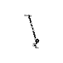 COC(=O)CCCCCOCCOCCOCCCCCCOc1cccc(CNC(=O)OC(C)(C)C)c1